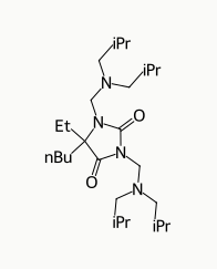 CCCCC1(CC)C(=O)N(CN(CC(C)C)CC(C)C)C(=O)N1CN(CC(C)C)CC(C)C